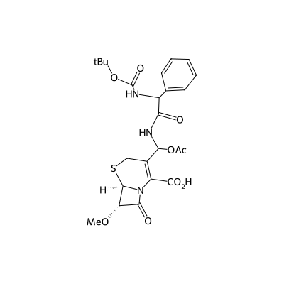 CO[C@H]1C(=O)N2C(C(=O)O)=C(C(NC(=O)C(NC(=O)OC(C)(C)C)c3ccccc3)OC(C)=O)CS[C@H]12